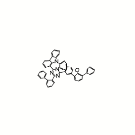 c1ccc(-c2ccccc2-c2nc(-c3ccc4oc5c(-c6ccccc6)cccc5c4c3)nc(-c3cccc4c5ccccc5n(-c5ccccc5)c34)n2)cc1